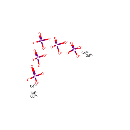 O=P([O-])([O-])[O-].O=P([O-])([O-])[O-].O=P([O-])([O-])[O-].O=P([O-])([O-])[O-].O=P([O-])([O-])[O-].[Gd+3].[Gd+3].[Gd+3].[Gd+3].[Gd+3]